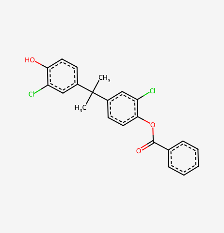 CC(C)(c1ccc(O)c(Cl)c1)c1ccc(OC(=O)c2ccccc2)c(Cl)c1